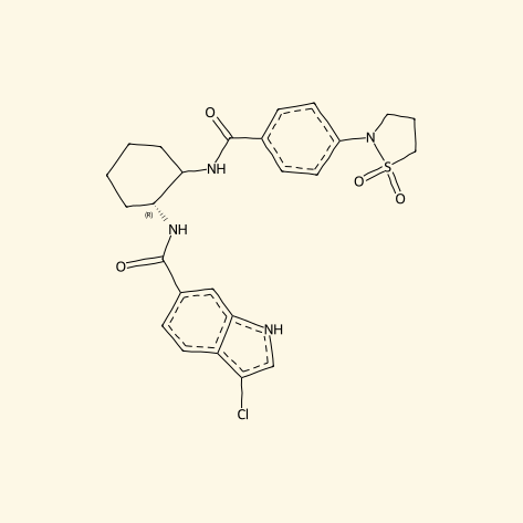 O=C(NC1CCCC[C@H]1NC(=O)c1ccc2c(Cl)c[nH]c2c1)c1ccc(N2CCCS2(=O)=O)cc1